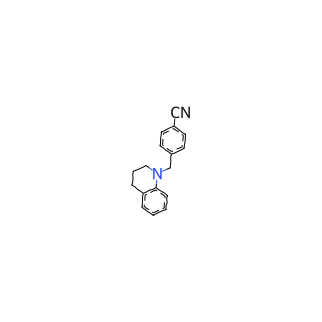 N#Cc1ccc(CN2CCCc3ccccc32)cc1